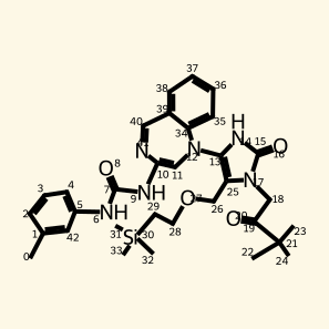 Cc1cccc(NC(=O)NC2=CN(c3[nH]c(=O)n(CC(=O)C(C)(C)C)c3COCC[Si](C)(C)C)c3ccccc3C=N2)c1